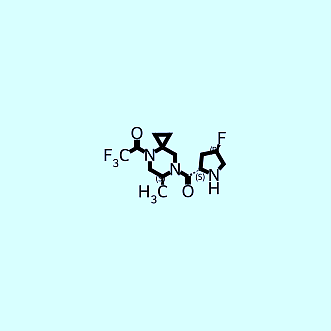 C[C@H]1CN(C(=O)C(F)(F)F)C2(CC2)CN1C(=O)[C@@H]1C[C@@H](F)CN1